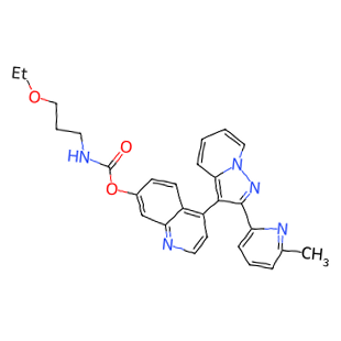 CCOCCCNC(=O)Oc1ccc2c(-c3c(-c4cccc(C)n4)nn4ccccc34)ccnc2c1